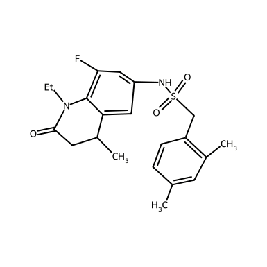 CCN1C(=O)CC(C)c2cc(NS(=O)(=O)Cc3ccc(C)cc3C)cc(F)c21